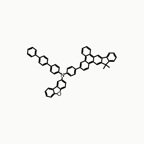 CC1(C)c2ccccc2-c2cc3c4ccccc4c4cc(-c5ccc(N(c6ccc(-c7ccc(-c8ccccc8)cc7)cc6)c6ccc7oc8ccccc8c7c6)cc5)ccc4c3cc21